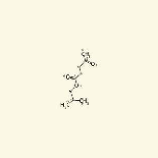 CC(=O)CCC(=O)OCC(C)C